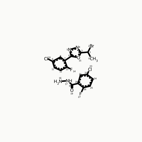 CC(Br)c1nnc(-c2cc(Cl)ccc2F)o1.NNC(=O)c1cc(Cl)ccc1F